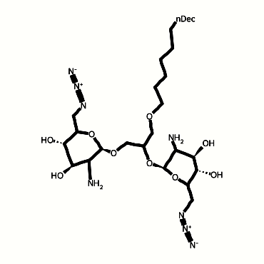 CCCCCCCCCCCCCCCCOCC(CO[C@@H]1OC(CN=[N+]=[N-])[C@@H](O)[C@H](O)C1N)O[C@@H]1OC(CN=[N+]=[N-])[C@@H](O)[C@H](O)C1N